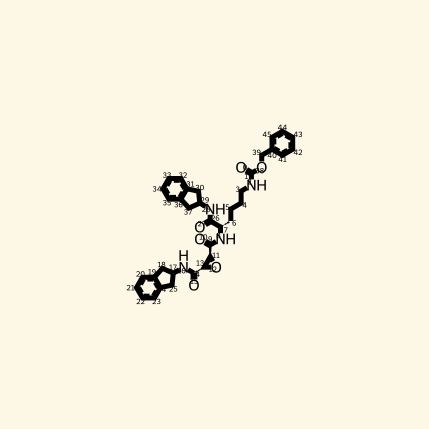 O=C(NCCCC[C@H](NC(=O)[C@H]1O[C@@H]1C(=O)NC1Cc2ccccc2C1)C(=O)NC1Cc2ccccc2C1)OCc1ccccc1